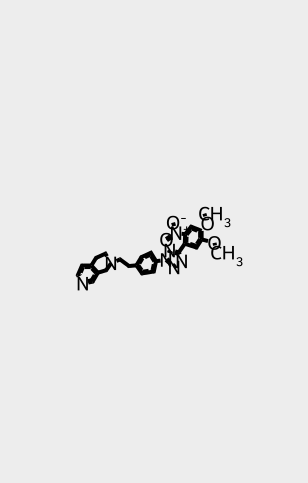 COc1cc(-c2nnn(-c3ccc(CCN4CCc5ccncc5C4)cc3)n2)c([N+](=O)[O-])cc1OC